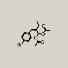 CCC(=Cc1ccc(Br)cc1)C(OC(C)=O)OC(C)=O